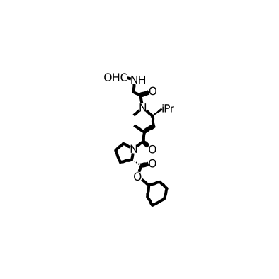 C/C(=C\[C@H](C(C)C)N(C)C(=O)CNC=O)C(=O)N1CCC[C@H]1C(=O)OC1CCCCC1